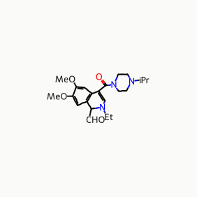 CCN1C=C(C(=O)N2CCN(C(C)C)CC2)c2cc(OC)c(OC)cc2C1C=O